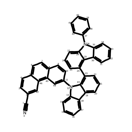 N#Cc1ccc2ccc3ccc(-n4c5ccccc5c5cccc(-c6cccc7c6c6ccccc6n7-c6ccccc6)c54)cc3c2c1